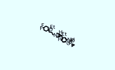 CCOC1(CCCN2C[C@@H]3[C@H](C2)C3(CC)c2cccc(NS(=O)(=O)C3CC3)c2)CCC(F)(F)CC1